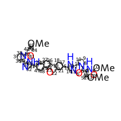 COC(=O)N[C@H](C(=O)N1CCCC1c1ncc(-c2ccc3c(c2)COc2c-3ccc3cc(-c4cnc([C@@H]5CCCN5C(=O)C[C@@H](C)OC)[nH]4)ccc23)[nH]1)[C@@H](C)OC